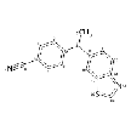 CC(c1ccc(C#N)cc1)c1ccc2ncsc2c1